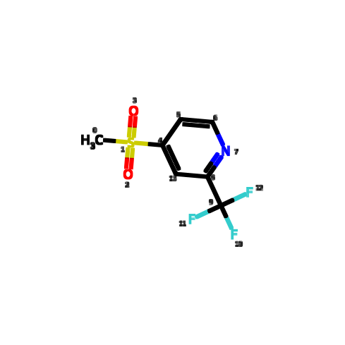 CS(=O)(=O)c1ccnc(C(F)(F)F)c1